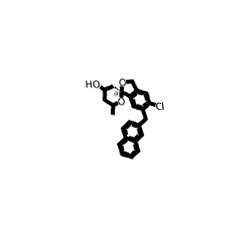 CC1CC(O)C[C@@]2(OCc3cc(Cl)c(Cc4ccc5ccccc5c4)cc32)O1